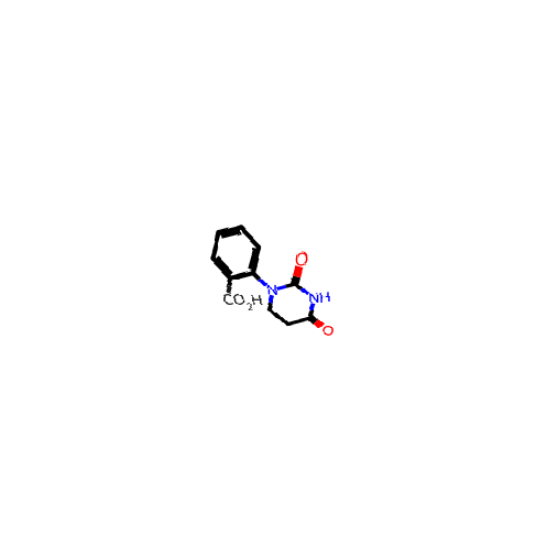 O=C1CCN(c2ccccc2C(=O)O)C(=O)N1